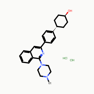 CCN1CCN(c2nc(-c3ccc([C@H]4CC[C@H](O)CC4)cc3)cc3ccccc23)CC1.Cl.Cl